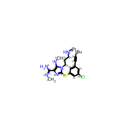 C=Nc1c(/C(N)=N\C)nc(Sc2cc(Cl)cc(C#CC(C)(C)C)c2)n1CCCNC(C)C